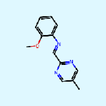 COc1ccccc1N=Cc1ncc(C)cn1